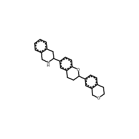 c1ccc2c(c1)CNC(c1ccc3c(c1)CCC(c1ccc4c(c1)COCC4)O3)C2